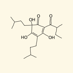 CCC(C)C(=O)C1=C(O)C(CCC(C)C)=C(O)C(O)(CCC(C)C)C1=O